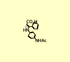 CC(=O)Nc1ccc(N/C(=C/C(=O)O)c2ccccc2)cc1